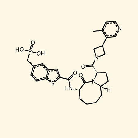 Cc1ccncc1C1CN(C(=O)[C@@H]2CC[C@@H]3CCCC[C@H](NC(=O)c4cc5cc(CP(=O)(O)O)ccc5s4)C(=O)N32)C1